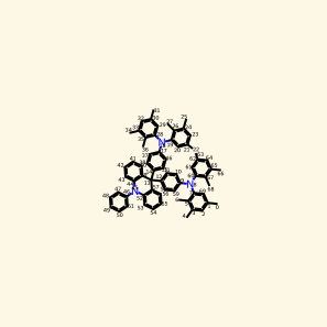 Cc1cc(C)c(C)c(N(c2ccc(C3(c4ccc(N(c5cc(C)cc(C)c5C)c5cc(C)cc(C)c5C)cc4)c4ccccc4N(c4ccccc4)c4ccccc43)cc2)c2cc(C)cc(C)c2C)c1